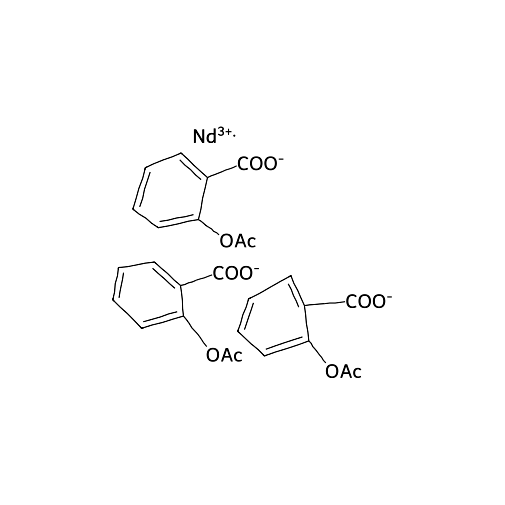 CC(=O)Oc1ccccc1C(=O)[O-].CC(=O)Oc1ccccc1C(=O)[O-].CC(=O)Oc1ccccc1C(=O)[O-].[Nd+3]